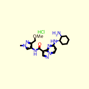 COCc1nn(C)cc1NC(=O)c1cnn2ccc(N[C@@H]3CCCC[C@@H]3N)nc12.Cl